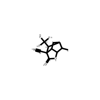 CC1C2CC3C1OC(=O)C3(C#N)C2C(F)(F)F